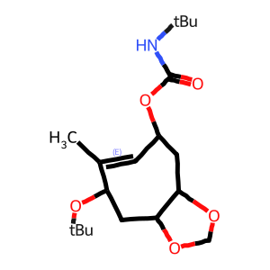 C/C1=C\C(OC(=O)NC(C)(C)C)CC2OCOC2CC1OC(C)(C)C